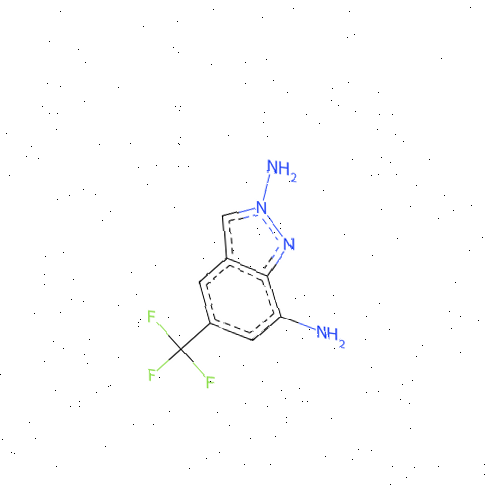 Nc1cc(C(F)(F)F)cc2cn(N)nc12